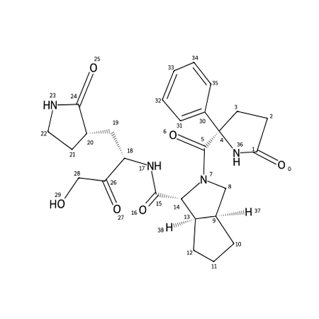 O=C1CC[C@](C(=O)N2C[C@H]3CCC[C@H]3[C@@H]2C(=O)N[C@@H](C[C@@H]2CCNC2=O)C(=O)CO)(c2ccccc2)N1